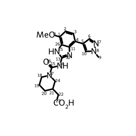 COc1ccc(-c2cnn(C)c2)c2nc(NC(=O)N3CCCC(CC(=O)O)C3)[nH]c12